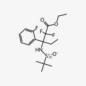 CCOC(=O)C(F)(F)C(CC)(N[S@+]([O-])C(C)(C)C)c1ccccc1F